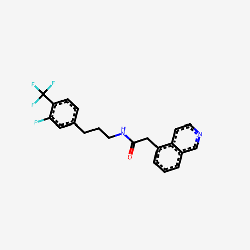 O=C(Cc1cccc2cnccc12)NCCCc1ccc(C(F)(F)F)c(F)c1